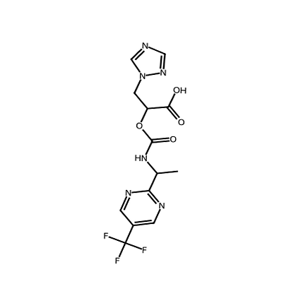 CC(NC(=O)OC(Cn1cncn1)C(=O)O)c1ncc(C(F)(F)F)cn1